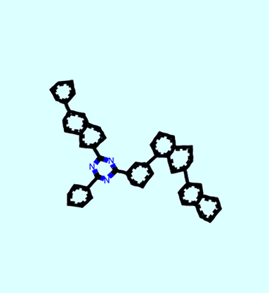 c1ccc(-c2ccc3cc(-c4nc(-c5ccccc5)nc(-c5cccc(-c6cccc7ccc(-c8ccc9ccccc9c8)cc67)c5)n4)ccc3c2)cc1